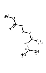 CC(C)OC(=O)CCC[C@@H](C)ON(O)O